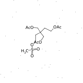 CC(=O)OCCC(CCOS(C)(=O)=O)(COC(C)=O)COC(C)=O